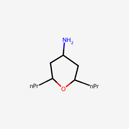 CCCC1CC(N)CC(CCC)O1